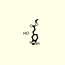 CCOC(=O)CCC1CCc2[nH]cnc2C1.Cl